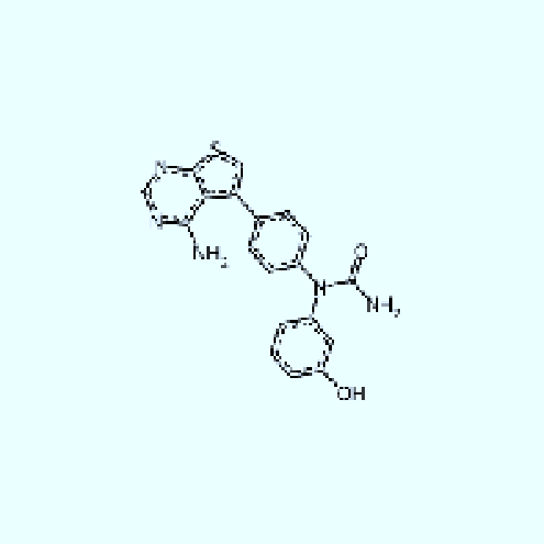 NC(=O)N(c1ccc(-c2csc3ncnc(N)c23)cc1)c1cccc(O)c1